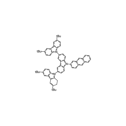 CC(C)(C)C1=Cc2c(n(-c3ccc4c(c3)c3cc(-n5c6ccc(C(C)(C)C)cc6c6cc(C(C)(C)C)ccc65)ccc3n4-c3ccc4cc5ccccc5cc4c3)c3ccc(C(C)(C)C)cc23)CC1